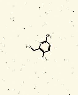 Cc1ncc(C)c(CO)n1